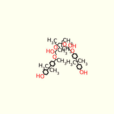 CCC(CC)(CC(CC)(CC)OCC(O)COC(C)c1ccc(C(C)(C)c2ccc(O)cc2)cc1)OCC(O)COc1ccc(C(C)(C)c2ccc(O)cc2)cc1